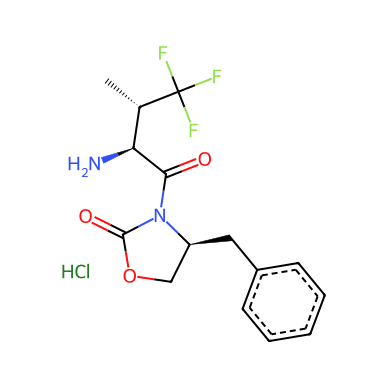 C[C@@H]([C@H](N)C(=O)N1C(=O)OC[C@@H]1Cc1ccccc1)C(F)(F)F.Cl